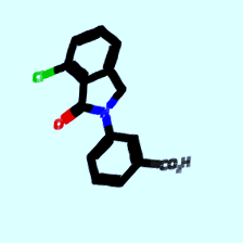 O=C(O)c1cccc(N2Cc3cccc(Cl)c3C2=O)c1